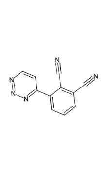 N#Cc1cccc(-c2ccnnn2)c1C#N